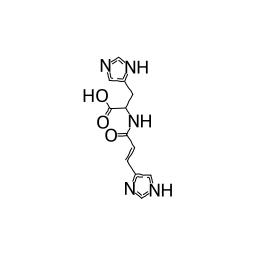 O=C(C=Cc1c[nH]cn1)NC(Cc1cnc[nH]1)C(=O)O